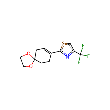 FC(F)(F)c1csc(C2=CCC3(CC2)OCCO3)n1